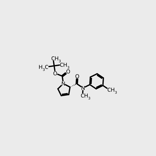 Cc1cccc(N(C)C(=O)[C@@H]2C=CCN2C(=O)OC(C)(C)C)c1